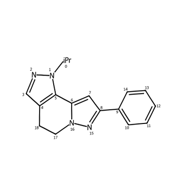 CC(C)n1ncc2c1-c1cc(-c3ccccc3)nn1CC2